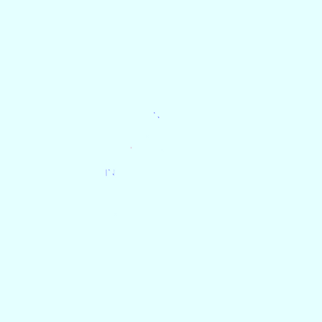 Cc1ccc2c(/C=C3\C(=O)Nc4sccc43)c[nH]c2c1